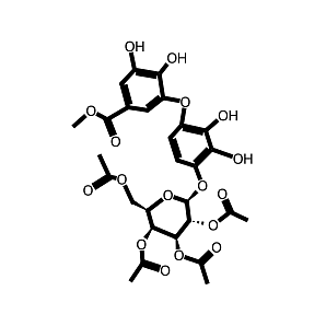 COC(=O)c1cc(O)c(O)c(Oc2ccc(O[C@@H]3O[C@H](COC(C)=O)[C@H](OC(C)=O)[C@H](OC(C)=O)[C@H]3OC(C)=O)c(O)c2O)c1